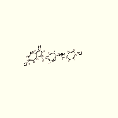 ClC1=CCC(CNc2ccc(Cc3c[nH]c4ncc(Cl)cc34)cn2)C=C1